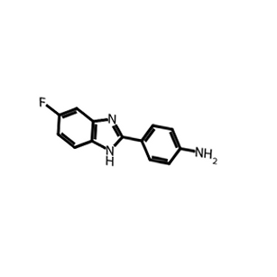 Nc1ccc(-c2nc3cc(F)ccc3[nH]2)cc1